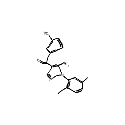 Cc1ccc(C)c(-n2ncc(C(=O)c3cccc(C#N)c3)c2N)c1